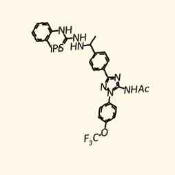 CC(=O)Nc1nc(-c2ccc(C(C)NNC(=S)Nc3ccccc3C(C)C)cc2)nn1-c1ccc(OC(F)(F)F)cc1